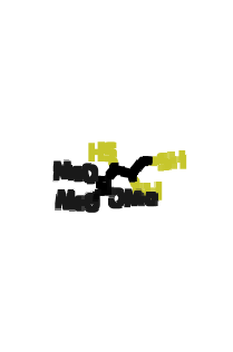 CO[Si](OC)(OC)C(S)C(S)CS